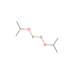 CC(C)OSSOC(C)C